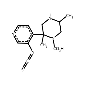 CC1CN(C(=O)O)C(C)(c2ccncc2N=C=S)CN1